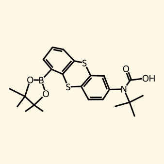 CC(C)(C)N(C(=O)O)c1ccc2c(c1)Sc1cccc(B3OC(C)(C)C(C)(C)O3)c1S2